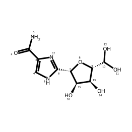 NC(=O)c1c[nH]c([C@@H]2O[C@H](C(O)O)[C@@H](O)[C@H]2O)n1